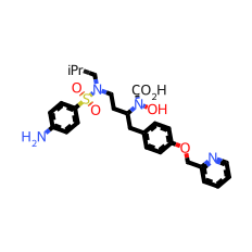 CC(C)CN(CCC(Cc1ccc(OCc2ccccn2)cc1)N(O)C(=O)O)S(=O)(=O)c1ccc(N)cc1